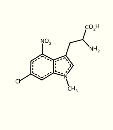 Cn1cc(CC(N)C(=O)O)c2c([N+](=O)[O-])cc(Cl)cc21